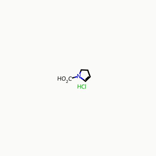 Cl.O=C(O)N1C=CCC1